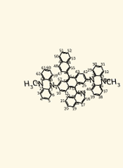 CN1c2ccccc2N(c2ccc3c(-c4nccc5ccccc45)c4cc(N5c6ccccc6N(C)c6ccccc65)ccc4c(-c4ccc5ccccc5c4)c3c2)c2ccccc21